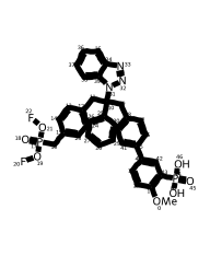 COc1ccc(-c2ccc(CC(Cc3ccc(CP(=O)(OF)OF)cc3)(c3ccccc3)n3nnc4ccccc43)cc2)cc1P(=O)(O)O